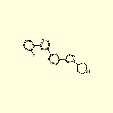 Fc1ccccc1-c1cc(-c2cncc(-c3cnn(C4CCNCC4)c3)c2)ccn1